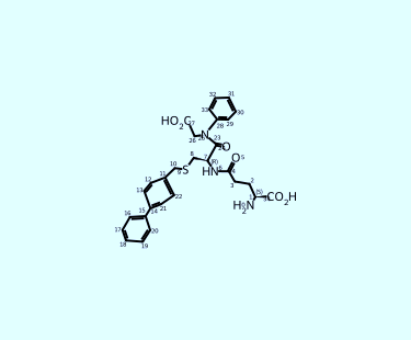 N[C@@H](CCC(=O)N[C@@H](CSCc1ccc(-c2ccccc2)cc1)C(=O)N(CC(=O)O)c1ccccc1)C(=O)O